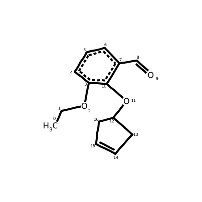 CCOc1cccc(C=O)c1OC1CC=CC1